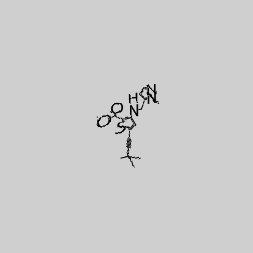 COC(=O)c1sc(C#CC(C)(C)C)cc1NCc1ccnn1C